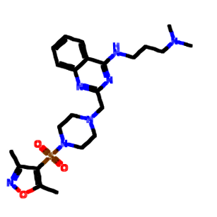 Cc1noc(C)c1S(=O)(=O)N1CCN(Cc2nc(NCCCN(C)C)c3ccccc3n2)CC1